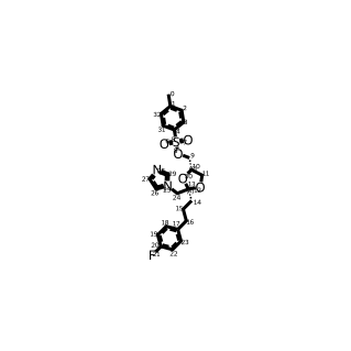 Cc1ccc(S(=O)(=O)OC[C@@H]2CO[C@@](CCCc3ccc(F)cc3)(Cn3ccnc3)O2)cc1